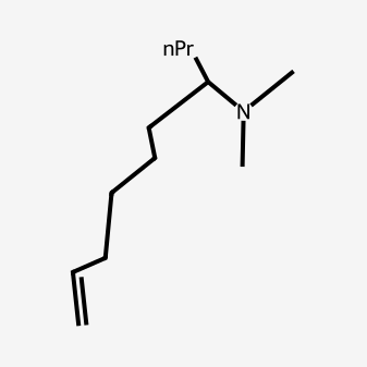 C=CCCCCC(CCC)N(C)C